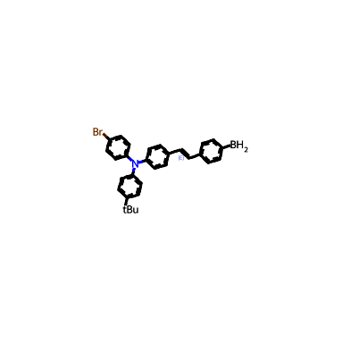 Bc1ccc(/C=C/c2ccc(N(c3ccc(Br)cc3)c3ccc(C(C)(C)C)cc3)cc2)cc1